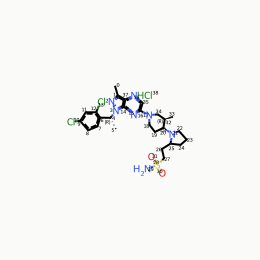 Cc1nn([C@H](C)c2ccc(Cl)cc2Cl)c2nc(N3CC[C@H](N4CCCC4CCS(N)(=O)=O)[C@H](C)C3)cnc12.Cl